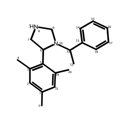 Cc1cc(C)c(C2CN[C]N2C(C)c2ccccc2)c(C)c1